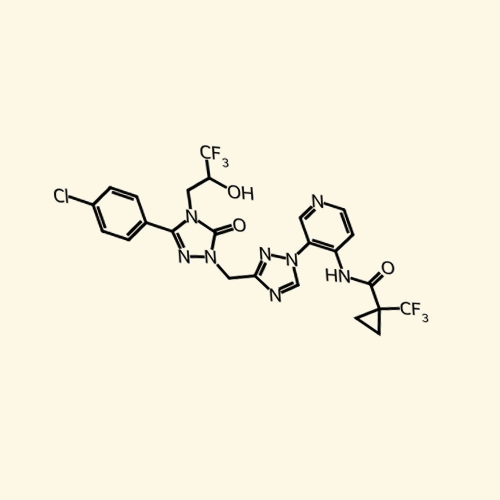 O=C(Nc1ccncc1-n1cnc(Cn2nc(-c3ccc(Cl)cc3)n(CC(O)C(F)(F)F)c2=O)n1)C1(C(F)(F)F)CC1